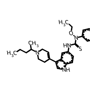 CCCC(C)N1CC=C(c2c[nH]c3ccc(NC(=S)N(OCC)c4ccccc4)cc23)CC1